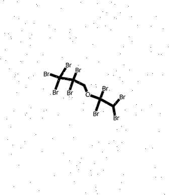 BrC(Br)C(Br)(Br)OCC(Br)(Br)C(Br)(Br)Br